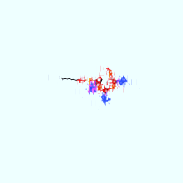 CCCCCCCCCC(=O)OCCSP(=O)(O)O[C@H]1C2OCCC[C@]2(COP(=O)(O)O[C@H]2C(O)[C@@H](COP(=O)(O)O[C@H]3C(OC)[C@@H](COP(=O)(O)OCCO)O[C@H]3n3cnc4c(N)ncnc43)O[C@H]2n2cnc3c(N)ncnc32)O[C@H]1n1cnc2c(N)ncnc21